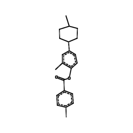 Cc1ccc(C(=O)Oc2ccc(C3CCC(C)CC3)cc2C)cc1